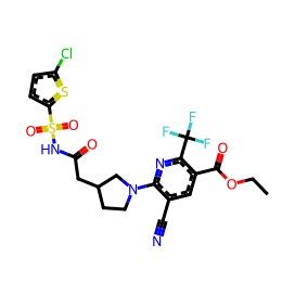 CCOC(=O)c1cc(C#N)c(N2CCC(CC(=O)NS(=O)(=O)c3ccc(Cl)s3)C2)nc1C(F)(F)F